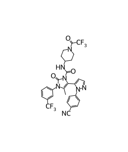 Cc1c(-c2ccnn2-c2ccc(C#N)cc2)n(C(=O)NC2CCN(C(=O)C(F)(F)F)CC2)c(=O)n1-c1cccc(C(F)(F)F)c1